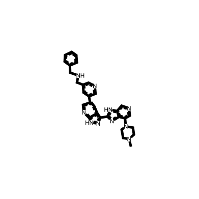 CN1CCN(c2cncc3[nH]c(-c4n[nH]c5ncc(-c6cncc(CNCc7ccccc7)c6)cc45)nc23)CC1